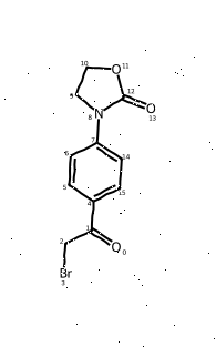 O=C(CBr)c1ccc(N2CCOC2=O)cc1